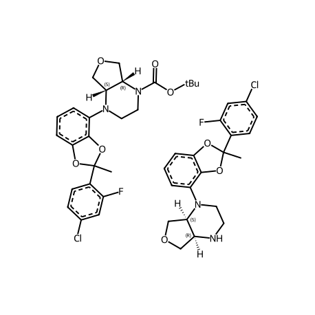 CC(C)(C)OC(=O)N1CCN(c2cccc3c2OC(C)(c2ccc(Cl)cc2F)O3)[C@@H]2COC[C@@H]21.CC1(c2ccc(Cl)cc2F)Oc2cccc(N3CCN[C@H]4COC[C@H]43)c2O1